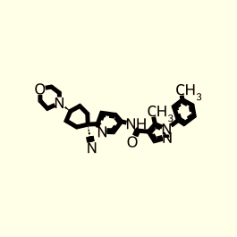 Cc1cccc(-n2ncc(C(=O)Nc3ccc([C@]4(C#N)CC[C@@H](N5CCOCC5)CC4)nc3)c2C)c1